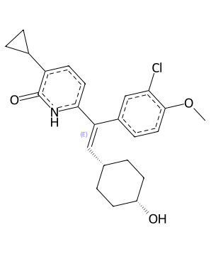 COc1ccc(/C(=C\[C@H]2CC[C@@H](O)CC2)c2ccc(C3CC3)c(=O)[nH]2)cc1Cl